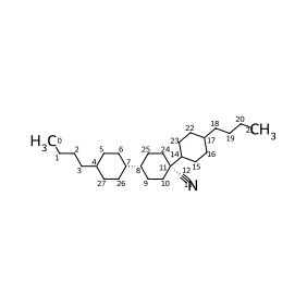 CCCCC1CCC([C@H]2CC[C@](C#N)(C3CCC(CCCC)CC3)CC2)CC1